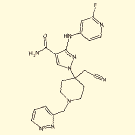 N#CCC1(n2cc(C(N)=O)c(Nc3ccnc(F)c3)n2)CCN(Cc2cccnn2)CC1